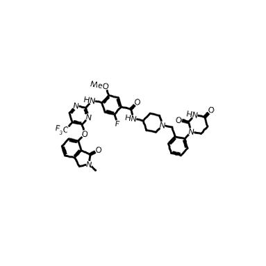 COc1cc(C(=O)NC2CCN(Cc3ccccc3N3CCC(=O)NC3=O)CC2)c(F)cc1Nc1ncc(C(F)(F)F)c(Oc2cccc3c2C(=O)N(C)C3)n1